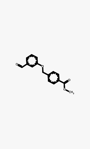 COC(=O)c1ccc(COc2cccc(C=O)c2)cc1